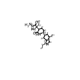 CCn1ncc2c(F)cc(-c3ccc(C(CC)(CC)C(=O)NN)c(=O)[nH]3)cc21